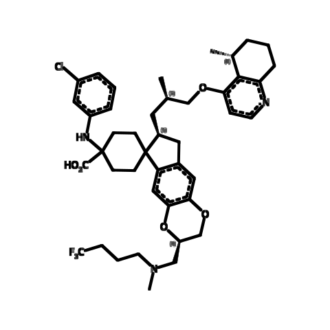 C[C@@H](COc1ccnc2c1[C@H](C)CCC2)C[C@H]1Cc2cc3c(cc2C12CCC(Nc1cccc(Cl)c1)(C(=O)O)CC2)O[C@H](CN(C)CCCC(F)(F)F)CO3